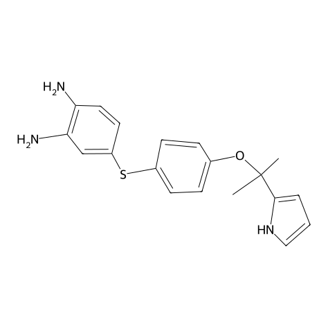 CC(C)(Oc1ccc(Sc2ccc(N)c(N)c2)cc1)c1ccc[nH]1